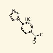 Cl.O=C(Cl)c1ccc(-n2ccnc2)cc1